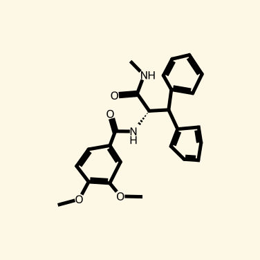 CNC(=O)[C@@H](NC(=O)c1ccc(OC)c(OC)c1)C(c1ccccc1)c1ccccc1